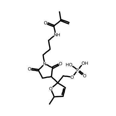 C=C(C)C(=O)NCCCN1C(=O)CC(C2(COP(=O)(O)O)C=CC(C)O2)C1=O